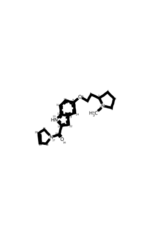 CN1CCCC1CCOc1ccc2[nH]c(C(=O)N3CC=CC3)cc2c1